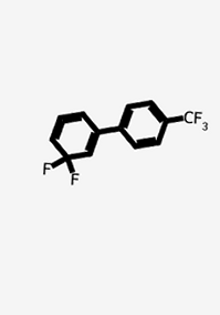 FC1(F)C=C=CC(c2ccc(C(F)(F)F)cc2)=C1